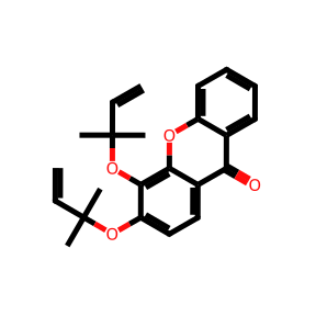 C=CC(C)(C)Oc1ccc2c(=O)c3ccccc3oc2c1OC(C)(C)C=C